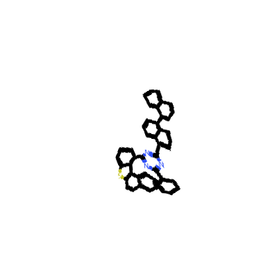 c1ccc(-c2nc(-c3cccc4c(-c5cccc6ccccc56)cccc34)nc(-c3cccc4sc5ccc6ccccc6c5c34)n2)cc1